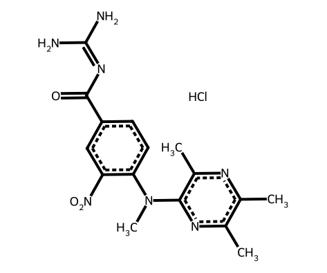 Cc1nc(C)c(N(C)c2ccc(C(=O)N=C(N)N)cc2[N+](=O)[O-])nc1C.Cl